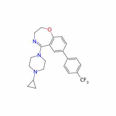 FC(F)(F)c1ccc(-c2ccc3c(c2)C(N2CCN(C4CC4)CC2)=NCCO3)cc1